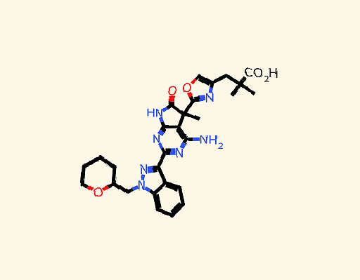 CC(C)(Cc1coc(C2(C)C(=O)Nc3nc(-c4nn(CC5CCCCO5)c5ccccc45)nc(N)c32)n1)C(=O)O